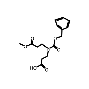 COC(=O)CCN(CCC(=O)O)C(=O)OCc1ccccc1